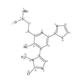 CCCC[S+]([O-])CSc1nc(-c2nccs2)cc(-c2cnc(Cl)n2C)c1C#N